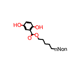 CCCCCCCCCCCCCCOC(=O)c1cc(O)ccc1O